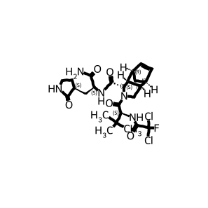 CC(C)(C)[C@H](NC(=O)C(F)(Cl)Cl)C(=O)N1C[C@H]2[C@@H]([C@H]1C(=O)N[C@@H](C[C@@H]1CCNC1=O)C(N)=O)[C@H]1C=C[C@@H]2C1